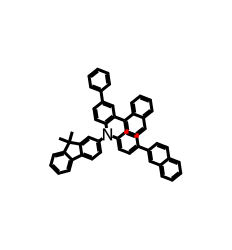 CC1(C)c2ccccc2-c2ccc(N(c3ccc(-c4ccc5ccccc5c4)cc3)c3ccc(-c4ccccc4)cc3-c3cccc4ccccc34)cc21